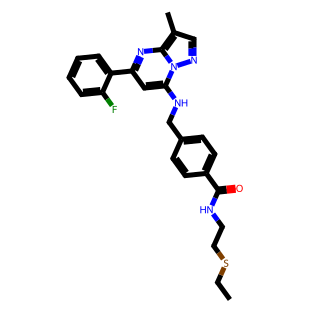 CCSCCNC(=O)c1ccc(CNc2cc(-c3ccccc3F)nc3c(C)cnn23)cc1